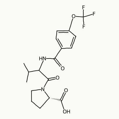 CC(C)C(NC(=O)c1ccc(OC(F)(F)F)cc1)C(=O)N1CCC[C@H]1C(=O)O